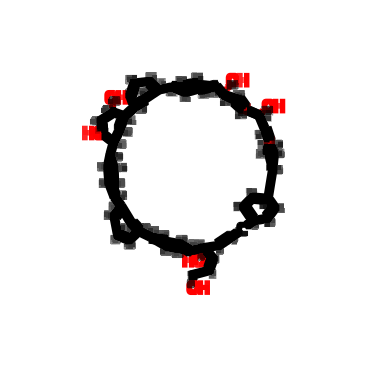 OC/C=C\C1(O)/C=C\Cc2ccc(cc2)-c2ccc(cc2)[C@]2(O)C=C[C@@](O)(C=C2)c2ccc(cc2)-c2cccc(c2)C2=C[C@@](O)(C=C[C@H]2O)c2ccc(cc2)-c2cccc(c2)-c2ccc1cc2